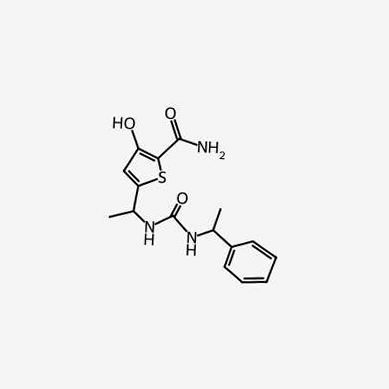 CC(NC(=O)NC(C)c1cc(O)c(C(N)=O)s1)c1ccccc1